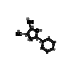 N#Cc1nc(-c2ccccc2)oc1O